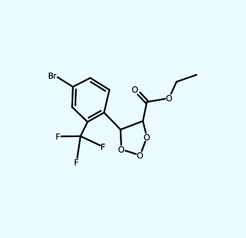 CCOC(=O)C1OOOC1c1ccc(Br)cc1C(F)(F)F